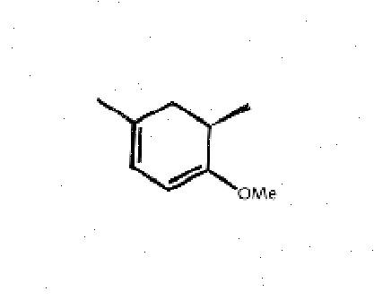 COC1=CC=C(C)C[C@H]1C